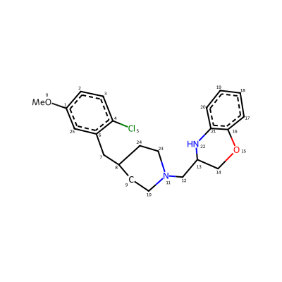 COc1ccc(Cl)c(CC2CCN(CC3COc4ccccc4N3)CC2)c1